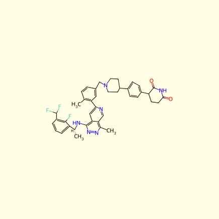 Cc1ccc(CN2CCC(c3ccc(C4CCC(=O)NC4=O)cc3)CC2)cc1-c1cc2c(N[C@H](C)c3cccc(C(F)F)c3F)nnc(C)c2cn1